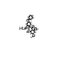 COc1cc(OC)c(C(=O)Pc2ccc(Oc3ccccc3)cc2C)c(OC)c1.[LiH]